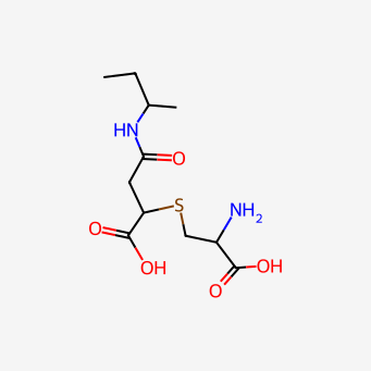 CCC(C)NC(=O)CC(SCC(N)C(=O)O)C(=O)O